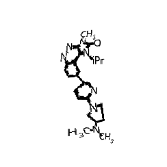 CC(C)n1c(=O)n(C)c2nnc3ccc(-c4ccc(N5CC[C@@H](N(C)C)C5)nc4)cc3c21